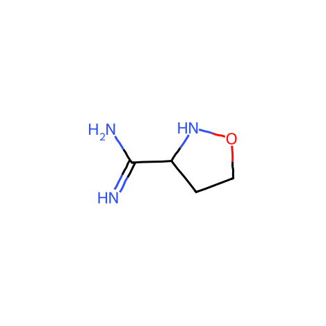 N=C(N)C1CCON1